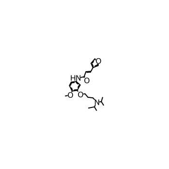 COc1ccc(NC(=O)C=Cc2ccoc2)cc1OCCCN(C(C)C)C(C)C